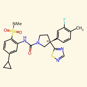 CNS(=O)(=O)c1ccc(C2CC2)cc1NC(=O)N1CC[C@](c2ccc(C)c(F)c2)(c2ncns2)C1